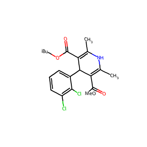 CCC(C)OC(=O)C1=C(C)NC(C)=C(C(=O)OC)C1c1cccc(Cl)c1Cl